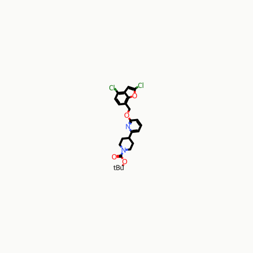 CC(C)(C)OC(=O)N1CCC(c2cccc(OCc3ccc(Cl)c4cc(Cl)oc34)n2)CC1